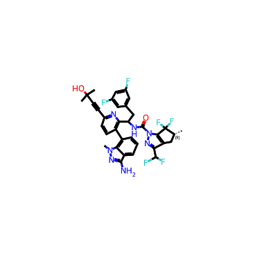 C[C@@H]1Cc2c(C(F)F)nn(C(=O)NC(Cc3cc(F)cc(F)c3)c3nc(C#CC(C)(C)O)ccc3-c3cccc4c(N)nn(C)c34)c2C1(F)F